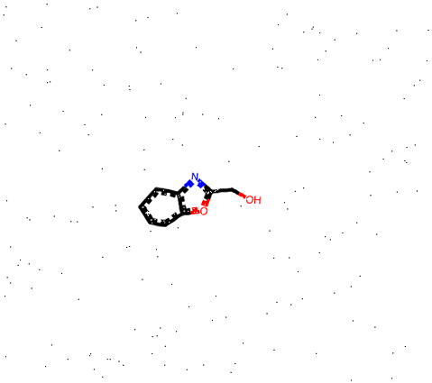 OCc1nc2ccccc2o1